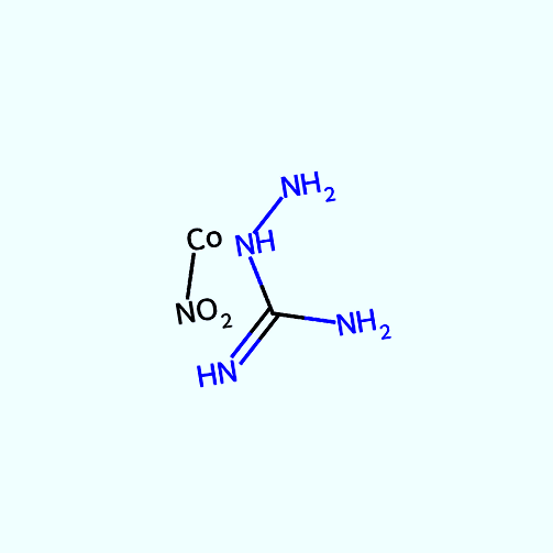 N=C(N)NN.O=[N+]([O-])[Co]